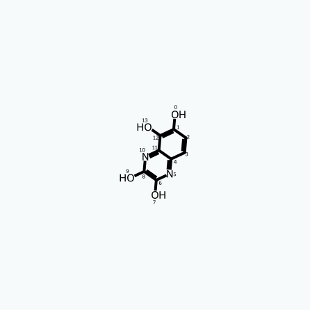 Oc1ccc2nc(O)c(O)nc2c1O